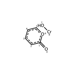 O=c1cccco1.[OH][Cr]